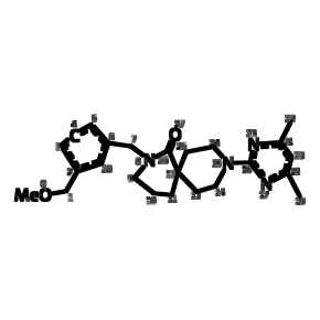 COCc1cccc(CN2CCCC3(CCN(c4nc(C)cc(C)n4)CC3)C2=O)c1